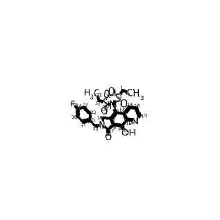 CCS(=O)(=O)N(c1c2c(c(O)c3ncccc13)C(=O)N(Cc1ccc(F)cc1)C2)S(=O)(=O)CC